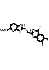 COc1ccc2[nH]c(SCc3nc4cc(F)c(F)cc4c(=O)[nH]3)nc2n1